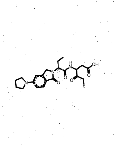 CC[C@@H](C(=O)NC(CC(=O)O)C(=O)CF)N1Cc2cc(N3CCCC3)ccc2C1=O